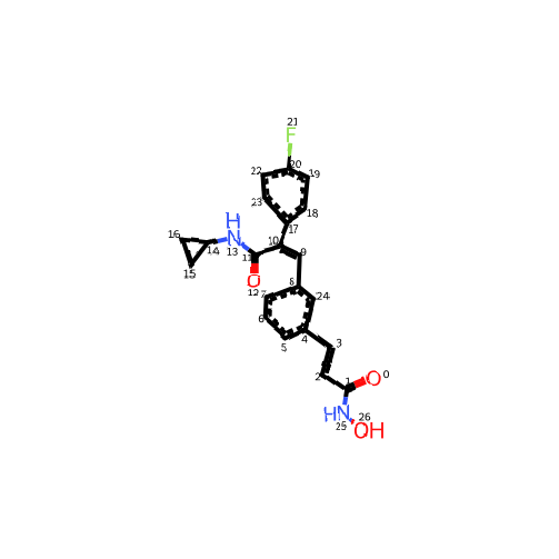 O=C(/C=C/c1cccc(/C=C(\C(=O)NC2CC2)c2ccc(F)cc2)c1)NO